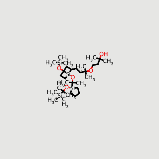 CC(C)(O)CCOC(C)(C)CCC1CC2(O[Si](C)(C)C)CC[Si]12OC(C)(C)[Si]1(OC(C)(C)[Si](C)(C)C)CCCC1